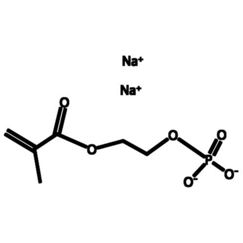 C=C(C)C(=O)OCCOP(=O)([O-])[O-].[Na+].[Na+]